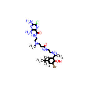 CC(NCCNC(=O)CCN(C)CCNC(=O)c1nc(Cl)c(N)nc1N)c1cc(C(C)(C)C)cc(Br)c1O